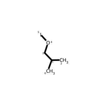 CC(C)COI